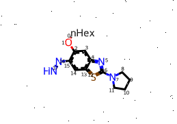 CCCCCCOc1cc2nc(N3CCCC3)sc2cc1N=N